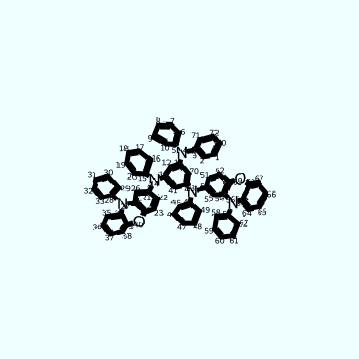 c1ccc(N(c2ccccc2)c2cc(N(c3ccccc3)c3ccc4c(c3)N(c3ccccc3)c3ccccc3O4)cc(N(c3ccccc3)c3ccc4c(c3)N(c3ccccc3)c3ccccc3O4)c2)cc1